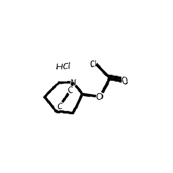 Cl.O=C(Cl)OC1CC2CCN1CC2